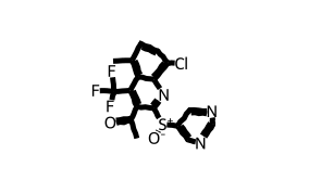 CC(=O)c1c([S+]([O-])c2cncnc2)nc2c(Cl)ccc(C)c2c1C(F)(F)F